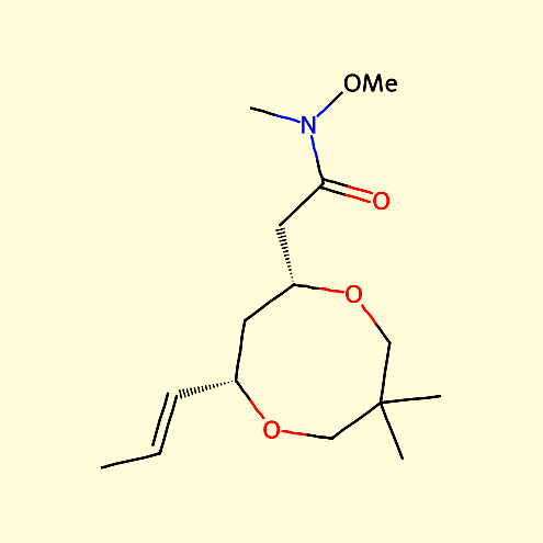 C/C=C/[C@@H]1C[C@H](CC(=O)N(C)OC)OCC(C)(C)CO1